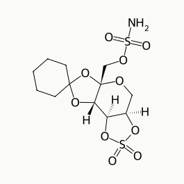 NS(=O)(=O)OC[C@@]12OC[C@H]3OS(=O)(=O)O[C@H]3[C@@H]1OC1(CCCCC1)O2